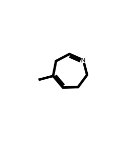 CC1=CCCN=CC1